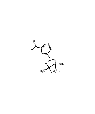 CC1(C)OB(c2cncc(C(F)F)c2)OC1(C)C